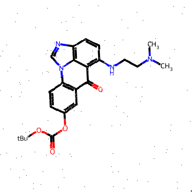 CN(C)CCNc1ccc2ncn3c4ccc(OC(=O)OC(C)(C)C)cc4c(=O)c1c23